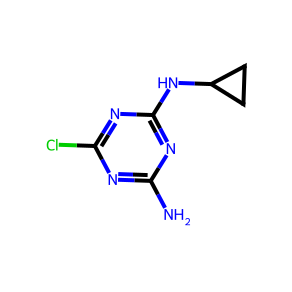 Nc1nc(Cl)nc(NC2CC2)n1